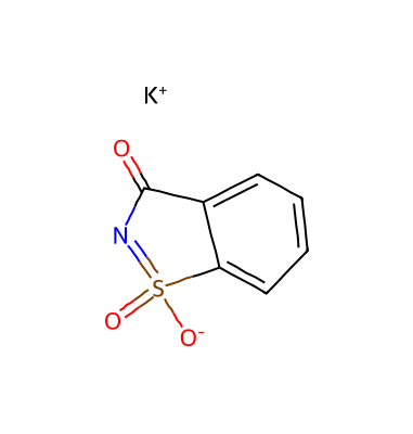 O=C1N=S(=O)([O-])c2ccccc21.[K+]